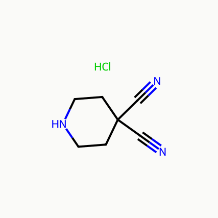 Cl.N#CC1(C#N)CCNCC1